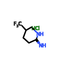 Cl.N=C1CCC(C(F)(F)F)CN1